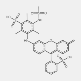 C=c1ccc2c(c1)Oc1cc(Nc3c(C)c(NS(C)(=O)=O)c(C)c(S(=O)(=O)O)c3C)ccc1C=2c1ccccc1S(=O)(=O)O